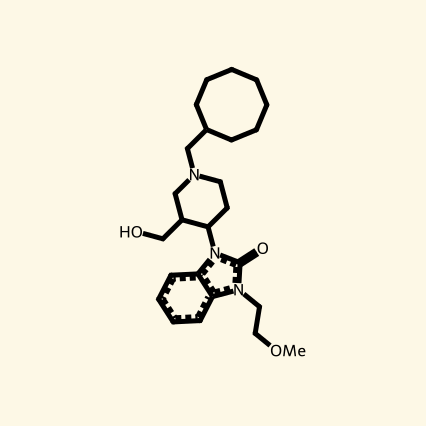 COCCn1c(=O)n(C2CCN(CC3CCCCCCC3)CC2CO)c2ccccc21